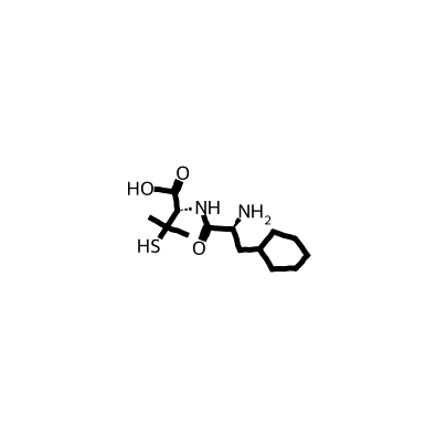 CC(C)(S)[C@@H](NC(=O)[C@@H](N)CC1CCCCC1)C(=O)O